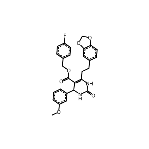 COc1cccc(C2NC(=O)NC(CCc3ccc4c(c3)OCO4)=C2C(=O)OCc2ccc(F)cc2)c1